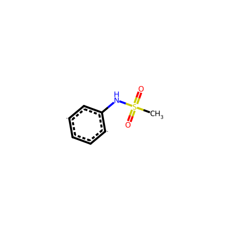 CS(=O)(=O)Nc1[c]cc[c]c1